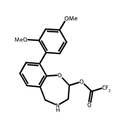 COc1ccc(-c2cccc3c2OC(OC(=O)C(F)(F)F)CNC3)c(OC)c1